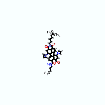 CCCCNC(=O)C1CC=c2c3c(c4ccc5c6c4c2=C(N2CCC2)CC6C(=O)N(CCCCCC(C)C)C5=O)=C(N2CCC2)CC(C=O)C=31